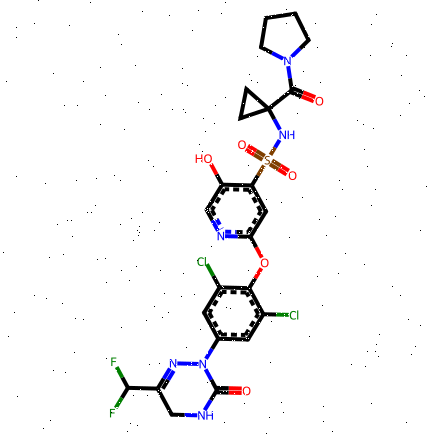 O=C1NCC(C(F)F)=NN1c1cc(Cl)c(Oc2cc(S(=O)(=O)NC3(C(=O)N4CCCC4)CC3)c(O)cn2)c(Cl)c1